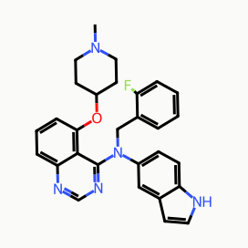 CN1CCC(Oc2cccc3ncnc(N(Cc4ccccc4F)c4ccc5[nH]ccc5c4)c23)CC1